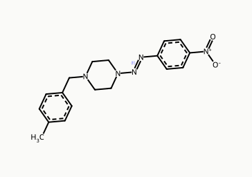 Cc1ccc(CN2CCN(/N=N/c3ccc([N+](=O)[O-])cc3)CC2)cc1